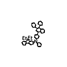 CCC1(CC)c2ccccc2-c2ccc(N(c3ccccc3)c3ccc(-c4cc(-c5ccccc5)c(-c5ccccc5)c5ccccc45)cc3)cc21